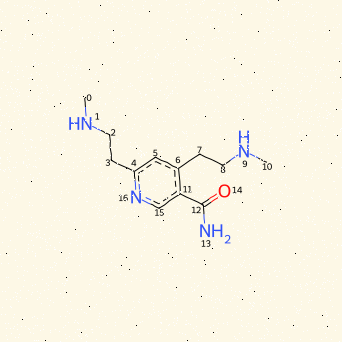 CNCCc1cc(CCNC)c(C(N)=O)cn1